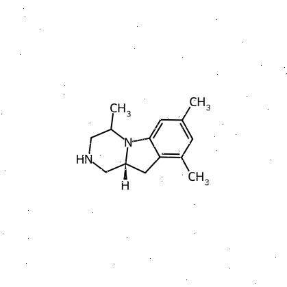 Cc1cc(C)c2c(c1)N1C(C)CNC[C@H]1C2